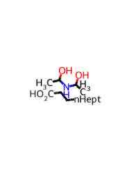 CC(O)NC(C)O.CCCCCCCCCC(=O)O